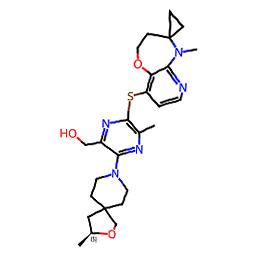 Cc1nc(N2CCC3(CC2)CO[C@@H](C)C3)c(CO)nc1Sc1ccnc2c1OCCC1(CC1)N2C